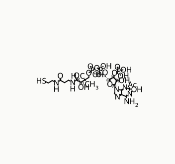 CC(=O)C1(O)N=C(N)C2=NCN([C@@H]3O[C@H](COP(=O)(O)OP(=O)(O)OCC(C)(C)[C@@H](O)C(=O)NCCC(=O)NCCS)[C@@H](OP(=O)(O)O)[C@H]3O)C2=N1